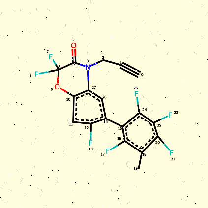 C#CCN1C(=O)C(F)(F)Oc2cc(F)c(-c3c(F)c(C)c(F)c(F)c3F)cc21